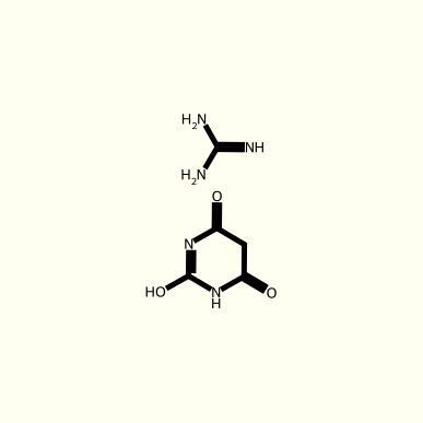 N=C(N)N.O=C1CC(=O)NC(O)=N1